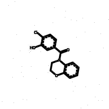 O=C(c1ccc(Cl)c(O)c1)N1CCOc2ccccc21